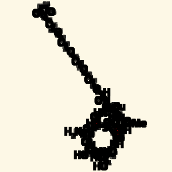 CC[C@H](C)[C@@H]1CCNC(=O)CNC(=O)[C@@H]2CNC(=O)[C@H]([C@@H](C)[C@@H](O)CO)NC(=O)[C@@H]3C[C@@H](O)CN3C(=O)[C@H](CC(N)=O)NC(=O)[C@@H](C[S+]([O-])C3Nc4c(ccc(OC)c4CSCCCCNC(=O)CCOCCOCCOCCOCCOCCOCCOCCOCCN4C(=O)C=CC4=O)C32)NC(=O)CNC1=O